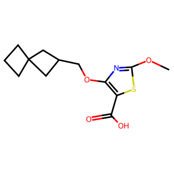 COc1nc(OCC2CC3(CCC3)C2)c(C(=O)O)s1